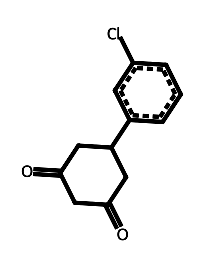 O=C1CC(=O)CC(c2cccc(Cl)c2)C1